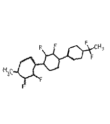 CC1CCC(C2CCC(C3CCC(C(C)(F)F)CC3)C(F)C2F)C(F)C1F